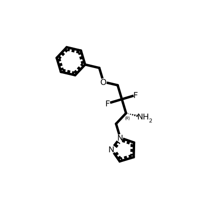 N[C@H](Cn1cccn1)C(F)(F)COCc1ccccc1